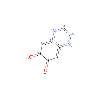 O=C1C=c2nccnc2=CC1=O